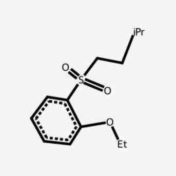 CCOc1ccccc1S(=O)(=O)CCC(C)C